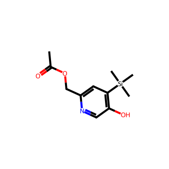 CC(=O)OCc1cc([Si](C)(C)C)c(O)cn1